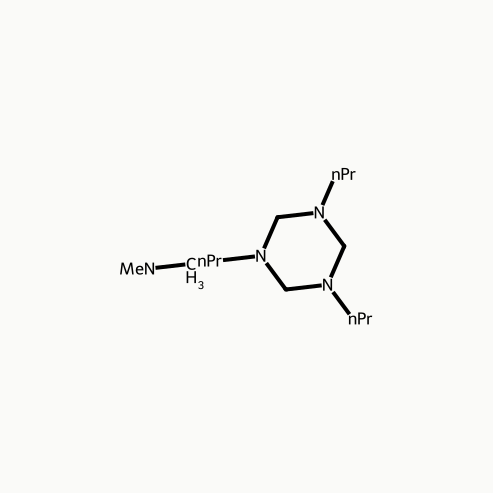 CCCN1CN(CCC)CN(CCC)C1.CNC